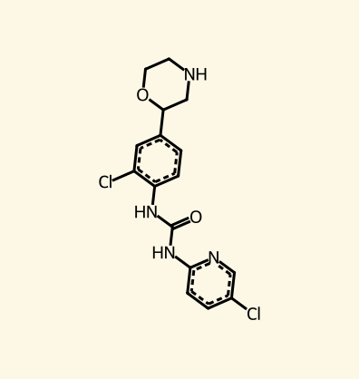 O=C(Nc1ccc(Cl)cn1)Nc1ccc(C2CNCCO2)cc1Cl